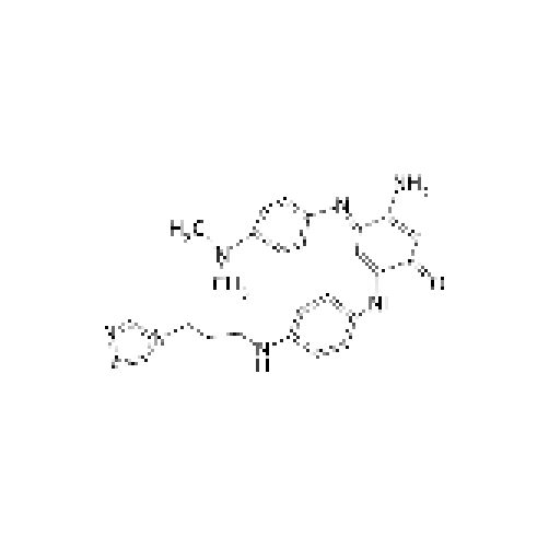 CN(C)c1ccc(/N=C2\C=C(Nc3ccc(NCCCn4ccnc4)cc3)C(=O)C=C2N)cc1